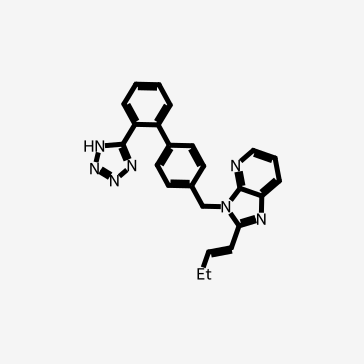 CCC=Cc1nc2cccnc2n1Cc1ccc(-c2ccccc2-c2nnn[nH]2)cc1